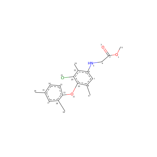 COC(=O)CNc1cc(C)c(Oc2ccc(C)cc2C)c(Cl)c1C